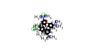 CC1=C(C)[C]([Ti+3])([Si](c2ccc(N(C)C)cc2C)(c2ccc(N(C)C)cc2C)c2ccc(N(C)C)cc2C)C(C)=C1C.[Cl-].[Cl-].[Cl-]